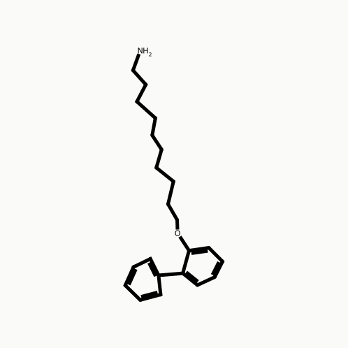 NCCCCCCCCCCOc1ccccc1-c1ccccc1